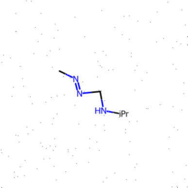 CN=NCNC(C)C